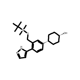 CC(C)(C)[Si](C)(C)OCc1cc([C@H]2CC[C@@H](O)CC2)ccc1-c1ccn[nH]1